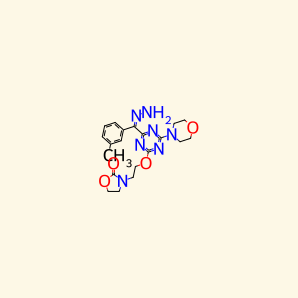 Cc1cccc(/C(=N/N)c2nc(OCCN3CCOC3=O)nc(N3CCOCC3)n2)c1